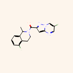 CC1c2cccc(F)c2CCN1C(=O)c1cc2ncc(Cl)cn2n1